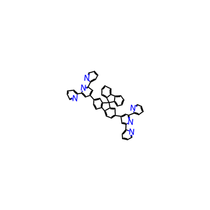 c1ccc(-c2cc(-c3ccc4c(c3)C3(c5ccccc5-c5ccccc53)c3cc(-c5cc(-c6ccccn6)nc(-c6ccccn6)c5)ccc3-4)cc(-c3ccccn3)n2)nc1